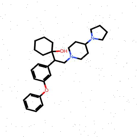 OC1(C(CN2CCC(N3CCCC3)CC2)c2cccc(Oc3ccccc3)c2)CCCCC1